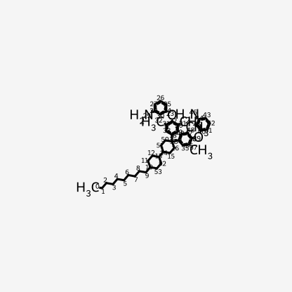 CCCCCCCCCCC1CCC(C2CCC(c3cc(C)c(Oc4cccc(N)c4)c(C)c3)(c3cc(C)c(Oc4cccc(N)c4)c(C)c3)CC2)CC1